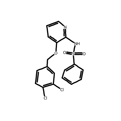 O=S(=O)(Nc1ncccc1OCc1ccc(Cl)c(Cl)c1)c1ccccc1